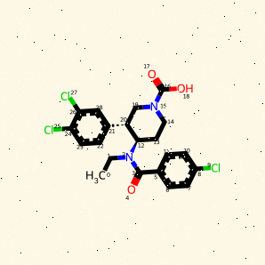 CCN(C(=O)c1ccc(Cl)cc1)[C@@H]1CCN(C(=O)O)C[C@H]1c1ccc(Cl)c(Cl)c1